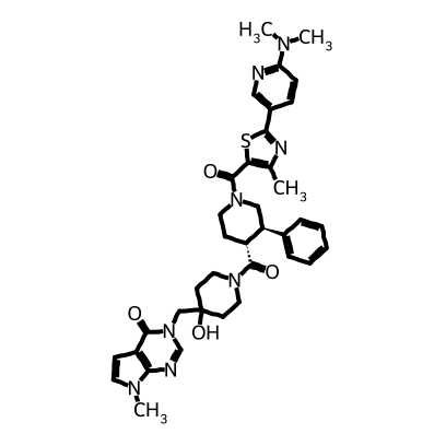 Cc1nc(-c2ccc(N(C)C)nc2)sc1C(=O)N1CC[C@@H](C(=O)N2CCC(O)(Cn3cnc4c(ccn4C)c3=O)CC2)[C@H](c2ccccc2)C1